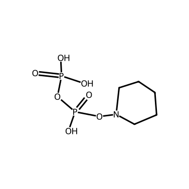 O=P(O)(O)OP(=O)(O)ON1CCCCC1